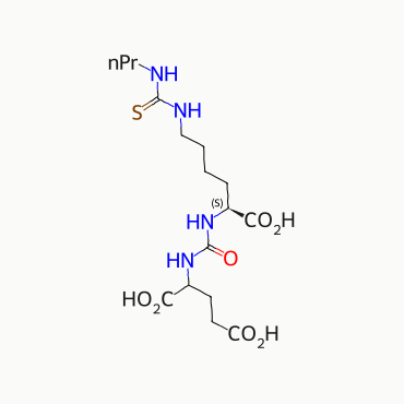 CCCNC(=S)NCCCC[C@H](NC(=O)NC(CCC(=O)O)C(=O)O)C(=O)O